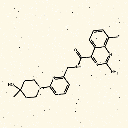 CC1(O)CCN(c2cccc(CNC(=O)c3nc(N)nc4c(F)cccc34)n2)CC1